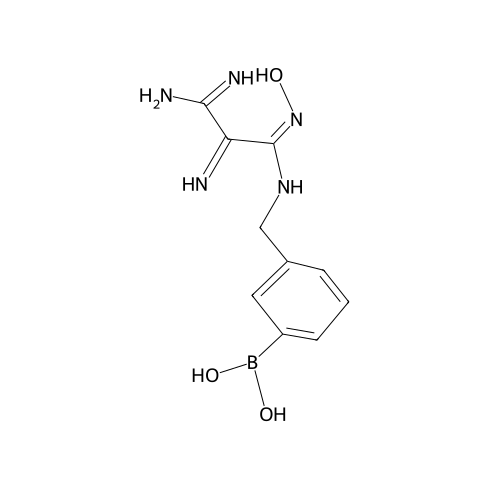 N=C(N)C(=N)/C(=N\O)NCc1cccc(B(O)O)c1